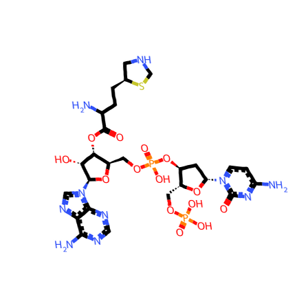 Nc1ccn([C@H]2C[C@H](OP(=O)(O)OC[C@H]3O[C@@H](n4cnc5c(N)ncnc54)[C@H](O)[C@@H]3OC(=O)C(N)CC[C@H]3CNCS3)[C@@H](COP(=O)(O)O)O2)c(=O)n1